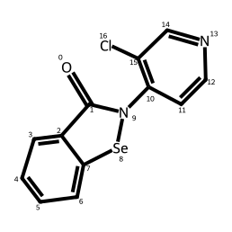 O=c1c2ccccc2[se]n1-c1ccncc1Cl